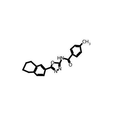 Cc1ccc(C(=O)Nc2nnc(-c3ccc4c(c3)CCCC4)o2)cc1